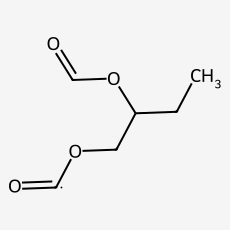 CCC(CO[C]=O)OC=O